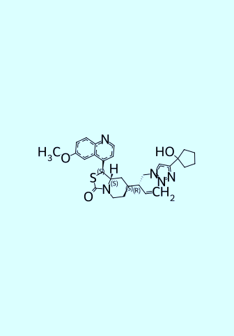 C=C[C@@H](Cn1cc(C2(O)CCCC2)nn1)[C@H]1CCN2C(=O)S[C@@H](c3ccnc4ccc(OC)cc34)[C@@H]2C1